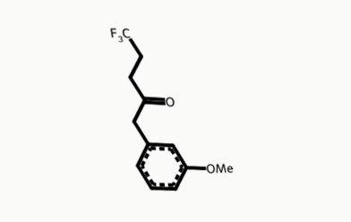 COc1cccc(CC(=O)CCC(F)(F)F)c1